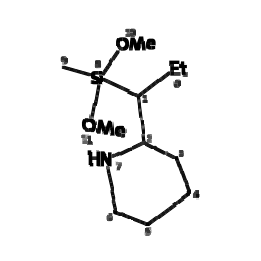 CCC(C1CCCCN1)[Si](C)(OC)OC